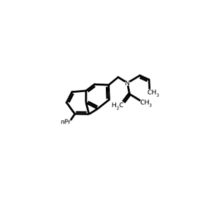 C=C(C)N(/C=C\C)Cc1cc2c3c-2c(CCC)ccc3c1